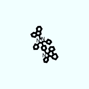 c1ccc(-c2nc(-c3cc4ccccc4c4ccccc34)nc(-c3ccccc3)c2-c2ccc(-c3nc4ccccc4c4c5ccccc5c5ccccc5c34)cc2)cc1